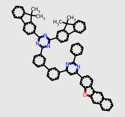 CC1(C)c2ccccc2-c2ccc(-c3nc(-c4cccc(-c5cccc(-c6cc(-c7ccc8c(c7)oc7cc9ccccc9cc78)nc(-c7ccccc7)n6)c5)c4)nc(-c4ccc5c(c4)C(C)(C)c4ccccc4-5)n3)cc21